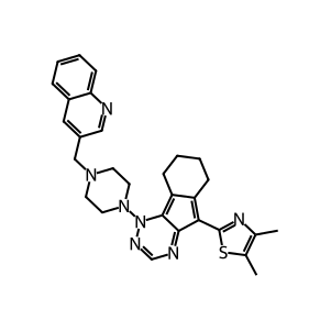 Cc1nc(-c2c3ncnn(N4CCN(Cc5cnc6ccccc6c5)CC4)c-3c3c2CCCC3)sc1C